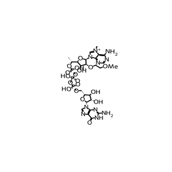 COCCO[C@H]1C(O)[C@@H]([C@@H](C)OP(=O)(O)OP(=O)(O)OP(=O)(O)OC[C@H]2O[C@@H](n3cnc4c(=O)[nH]c(N)nc43)[C@@H](O)C2O)O[C@H]1n1c[n+](C)c2c(N)ncnc21